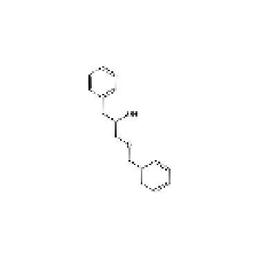 OC(COCc1ccccc1)Cc1ccccc1